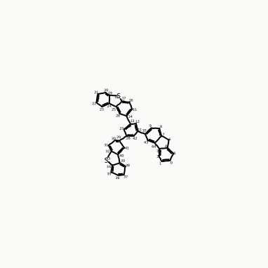 c1ccc2c(c1)Cc1ccc(-c3cc(-c4ccc5sc6ccccc6c5c4)cc(-c4ccc5sc6ccccc6c5c4)c3)cc1-2